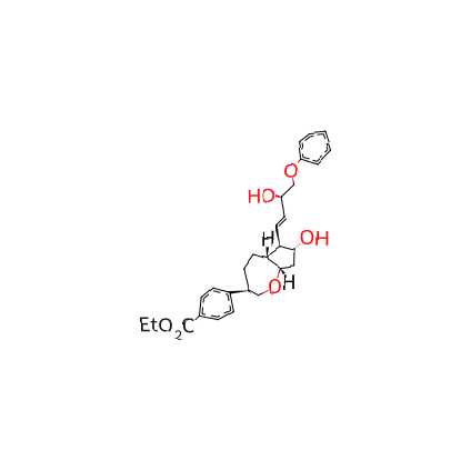 CCOC(=O)c1ccc([C@H]2CC[C@@H]3[C@@H](/C=C/[C@@H](O)COc4ccccc4)[C@H](O)C[C@@H]3OC2)cc1